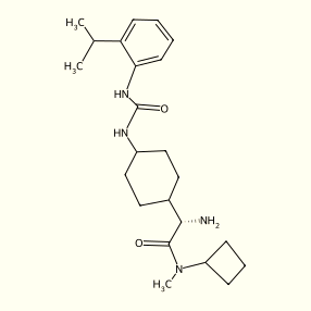 CC(C)c1ccccc1NC(=O)NC1CCC([C@H](N)C(=O)N(C)C2CCC2)CC1